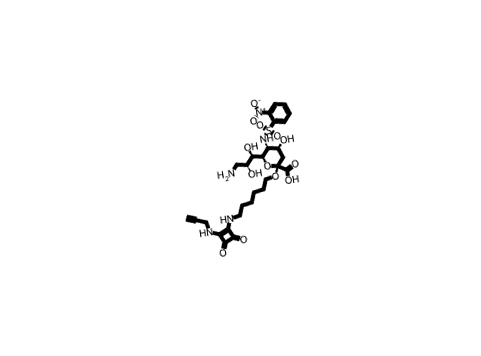 C#CCNc1c(NCCCCCCO[C@]2(C(=O)O)C[C@H](O)[C@@H](NS(=O)(=O)c3ccccc3[N+](=O)[O-])[C@H]([C@H](O)[C@H](O)CN)O2)c(=O)c1=O